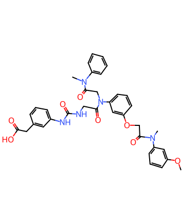 COc1cccc(N(C)C(=O)COc2cccc(N(CC(=O)N(C)c3ccccc3)C(=O)CNC(=O)Nc3cccc(CC(=O)O)c3)c2)c1